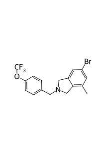 Cc1cc(Br)cc2c1CN(Cc1ccc(OC(F)(F)F)cc1)C2